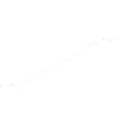 [CH2]CCC#CC#CC#CC#CC#CC#CCC[CH2]